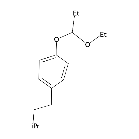 CCOC(CC)Oc1ccc(CCC(C)C)cc1